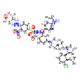 O=C(NS(=O)(=O)c1ccc(NCC2CCOCC2)c([N+](=O)[O-])c1)c1ccc(N2CCC3(CC2)CC(N2CCC[C@H]2c2cccc(Cl)c2C2CC2)C3)cc1Oc1cnc2[nH]ccc2c1